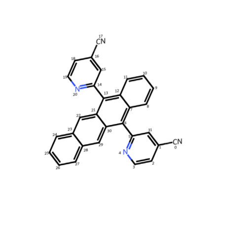 N#Cc1ccnc(-c2c3ccccc3c(-c3cc(C#N)ccn3)c3cc4ccccc4cc23)c1